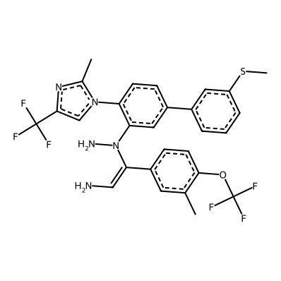 CSc1cccc(-c2ccc(-n3cc(C(F)(F)F)nc3C)c(N(N)/C(=C\N)c3ccc(OC(F)(F)F)c(C)c3)c2)c1